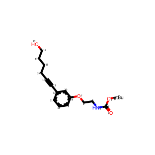 CC(C)(C)OC(=O)NCCOc1cccc(C#CCCCCO)c1